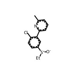 CC[S+]([O-])c1ccc(Cl)c(-c2cccc(C)n2)c1